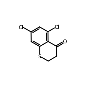 O=C1CCSc2cc(Cl)cc(Cl)c21